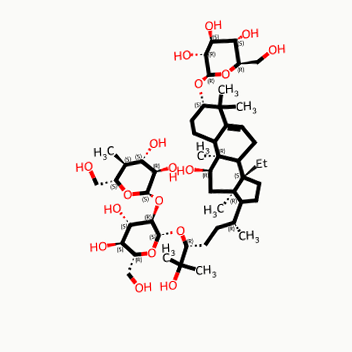 CC[C@@]12CCC([C@H](C)CC[C@@H](O[C@@H]3O[C@H](CO)[C@@H](O)[C@H](O)[C@H]3O[C@@H]3O[C@H](CO)[C@@H](C)[C@H](O)[C@H]3O)C(C)(C)O)[C@@]1(C)C[C@@H](O)[C@@]1(C)C3CC[C@H](O[C@@H]4O[C@H](CO)[C@@H](O)[C@H](O)[C@H]4O)C(C)(C)C3=CCC12